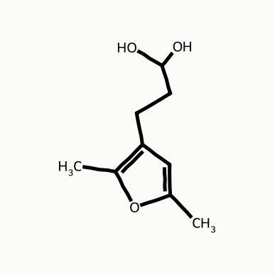 Cc1cc(CCC(O)O)c(C)o1